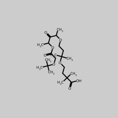 CC(OCCC(C)(C)OCCC(C)(C)C(=O)O)C(=O)C(C)OC(=O)COC(C)(C)C